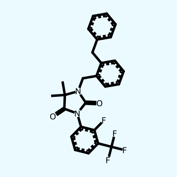 CC1(C)C(=O)N(c2cccc(C(F)(F)F)c2F)C(=O)N1Cc1ccccc1Cc1ccccc1